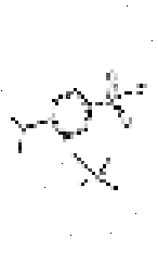 CC(C)c1ccc(S(=O)(=O)[O-])cc1.C[N+](C)(C)C